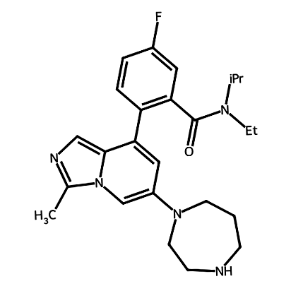 CCN(C(=O)c1cc(F)ccc1-c1cc(N2CCCNCC2)cn2c(C)ncc12)C(C)C